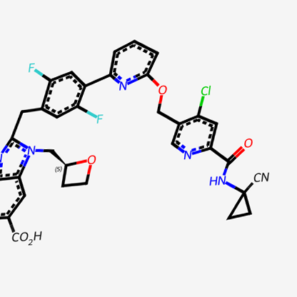 N#CC1(NC(=O)c2cc(Cl)c(COc3cccc(-c4cc(F)c(Cc5nc6ccc(C(=O)O)cc6n5C[C@@H]5CCO5)cc4F)n3)cn2)CC1